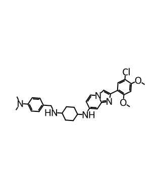 COc1cc(OC)c(-c2cn3ccc(NC4CCC(NCc5ccc(N(C)C)cc5)CC4)cc3n2)cc1Cl